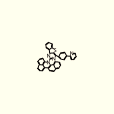 c1ccc(-c2ccc(-c3nc(N4c5c(ccc6ccccc56)-c5cccc6cccc4c56)nc4c3sc3ccccc34)cc2)nc1